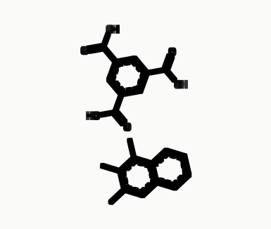 Cc1cc2ccccc2c(C)c1C.O=C(O)c1cc(C(=O)O)cc(C(=O)O)c1